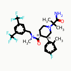 Cc1cc(F)ccc1[C@@H]1CN(C(C)(C)C(N)=O)CC[C@H]1C(=O)N(C)Cc1cc(C(F)(F)F)cc(C(F)(F)F)c1